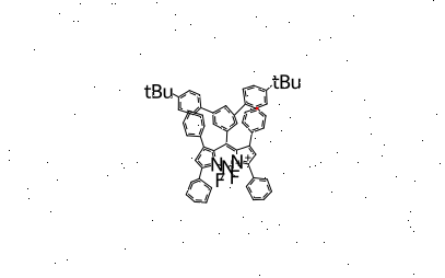 CC(C)(C)c1ccc(-c2cc(C3=C4C(c5ccccc5)=CC(c5ccccc5)=[N+]4[N+](F)(F)n4c(-c5ccccc5)cc(-c5ccccc5)c43)cc(-c3ccc(C(C)(C)C)cc3)c2)cc1